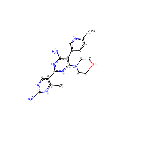 COc1ccc(-c2c(N)nc(-c3cnc(N)nc3C(F)(F)F)nc2N2CCOCC2)cn1